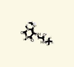 C/C=N\c1c(NCC(=O)NC(C)(C)C)c(=O)n(C)c(=O)n1C